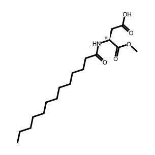 CCCCCCCCCCCCC(=O)N[C@@H](CC(=O)O)C(=O)OC